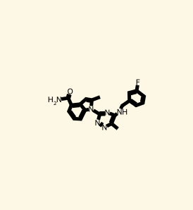 Cc1nnc(-n2c(C)cc3c(C(N)=O)cccc32)nc1NCc1cccc(F)c1